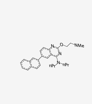 CCCN(CCC)c1nc(OCCNC)nc2ccc(-c3ccc4ccccc4c3)cc12